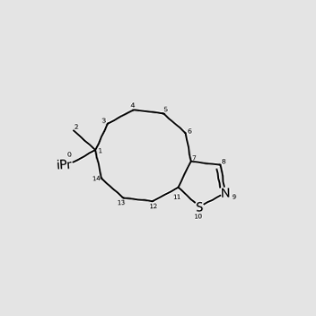 CC(C)C1(C)CCCCC2C=NSC2CCC1